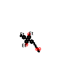 C=CC(=O)OCCCCCc1ccc(-c2c3ccc(OCC)cc3c(-c3ccc(C(=C)CC)cc3)c3ccc(OCC)cc23)cc1